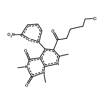 Cc1nc2c(c(-c3cccc([N+](=O)[O-])c3)c1C(=O)CCCCCl)c(=O)n(C)c(=O)n2C